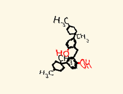 CC1CCC(C)(c2ccc(O)c(Cc3cc(C4(C)CCC(C)CC4)ccc3O)c2)CC1